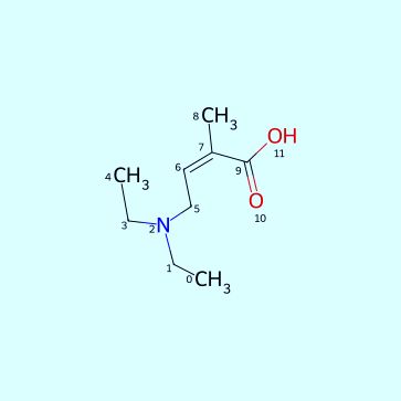 CCN(CC)CC=C(C)C(=O)O